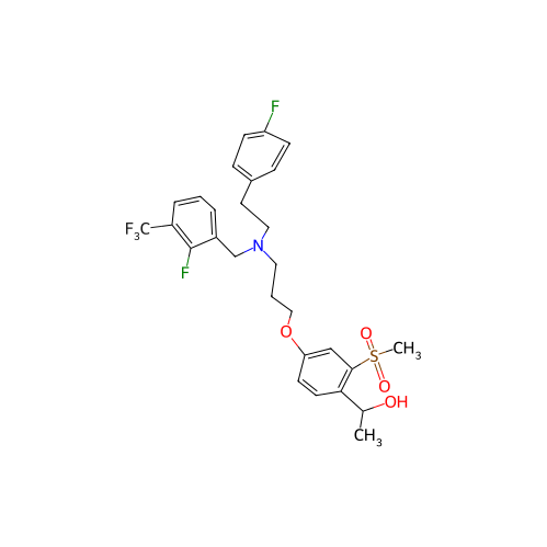 CC(O)c1ccc(OCCCN(CCc2ccc(F)cc2)Cc2cccc(C(F)(F)F)c2F)cc1S(C)(=O)=O